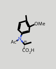 COc1cc(N(C(C)=O)[C@H](C)C(=O)O)ccc1C